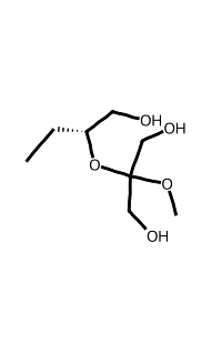 CC[C@H](CO)OC(CO)(CO)OC